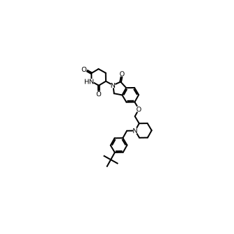 CC(C)(C)c1ccc(CN2CCCCC2COc2ccc3c(c2)CN(C2CCC(=O)NC2=O)C3=O)cc1